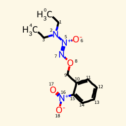 CCN(CC)/[N+]([O-])=N/OCc1ccccc1[N+](=O)[O-]